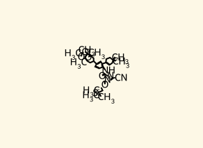 CC1(C)CC=C(c2cc(C3CC4(C)OC(C)(C3)C3OC(C)(C)OC34)ccc2NC(=O)c2nc(C#N)cn2COCC[Si](C)(C)C)CC1